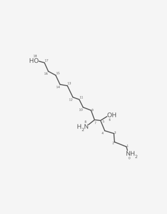 NCCCCC(O)C(N)CCCCCCCCCO